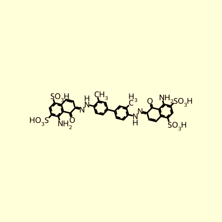 Cc1cc(-c2ccc(N/N=C3\C=Cc4c(S(=O)(=O)O)cc(S(=O)(=O)O)c(N)c4C3=O)c(C)c2)ccc1NN=C1C=Cc2c(S(=O)(=O)O)cc(S(=O)(=O)O)c(N)c2C1=O